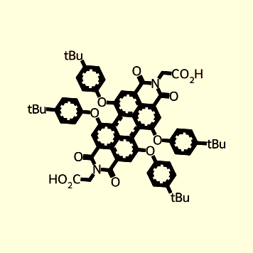 CC(C)(C)c1ccc(Oc2cc3c4c(cc(Oc5ccc(C(C)(C)C)cc5)c5c6c(Oc7ccc(C(C)(C)C)cc7)cc7c8c(cc(Oc9ccc(C(C)(C)C)cc9)c(c2c45)c86)C(=O)N(CC(=O)O)C7=O)C(=O)N(CC(=O)O)C3=O)cc1